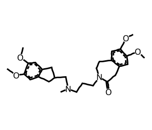 COc1cc2c(cc1OC)CC(=O)N(CCCN(C)CC1Cc3cc(OC)c(OC)cc3C1)CC2